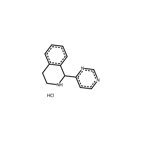 Cl.c1ccc2c(c1)CCNC2c1ccncn1